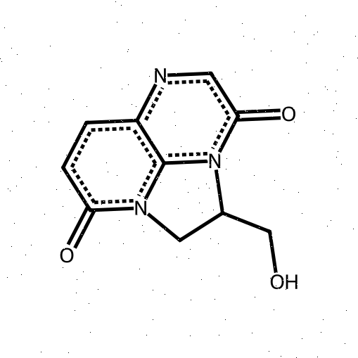 O=c1ccc2ncc(=O)n3c2n1CC3CO